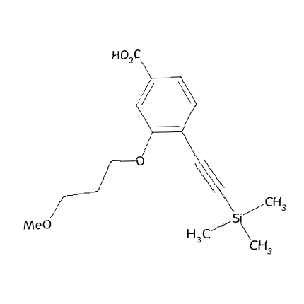 COCCCOc1cc(C(=O)O)ccc1C#C[Si](C)(C)C